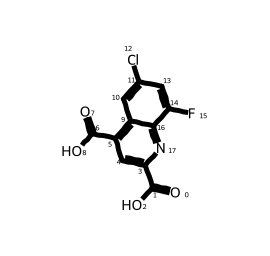 O=C(O)c1cc(C(=O)O)c2cc(Cl)cc(F)c2n1